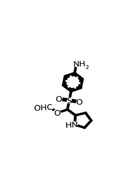 Nc1ccc(S(=O)(=O)C(OC=O)C2CCCN2)cc1